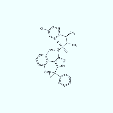 COc1cccc(OC)c1-n1c(NS(=O)(=O)[C@@H](C)[C@H](C)c2ncc(Cl)cn2)nnc1C1(c2ccccn2)CC1